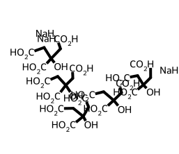 O=C(O)CC(O)(CC(=O)O)C(=O)O.O=C(O)CC(O)(CC(=O)O)C(=O)O.O=C(O)CC(O)(CC(=O)O)C(=O)O.O=C(O)CC(O)(CC(=O)O)C(=O)O.O=C(O)CC(O)(CC(=O)O)C(=O)O.[NaH].[NaH].[NaH]